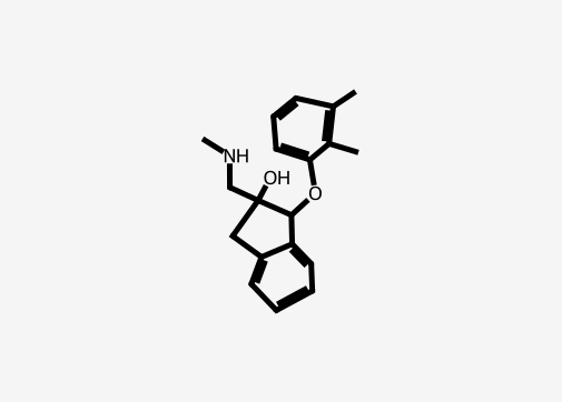 CNCC1(O)Cc2ccccc2C1Oc1cccc(C)c1C